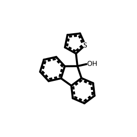 OC1(c2cccs2)c2ccccc2-c2ccccc21